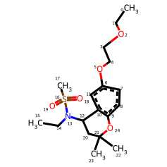 CCOCCOc1ccc2c(c1)C(N(CC)S(C)(=O)=O)CC(C)(C)O2